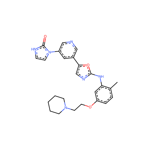 Cc1ccc(OCCN2CCCCC2)cc1Nc1ncc(-c2cncc(-n3cc[nH]c3=O)c2)o1